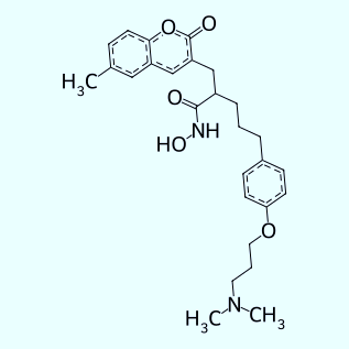 Cc1ccc2oc(=O)c(CC(CCCc3ccc(OCCCN(C)C)cc3)C(=O)NO)cc2c1